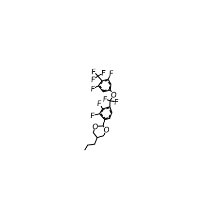 CCCC1COC(c2ccc(C(F)(F)Oc3cc(F)c(C(F)(F)F)c(F)c3)c(F)c2F)OC1